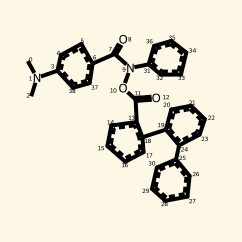 CN(C)c1ccc(C(=O)N(OC(=O)c2ccccc2-c2ccccc2-c2ccccc2)c2ccccc2)cc1